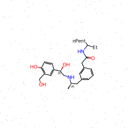 CCCCCC(CC)NC(=O)Cc1cccc(C[C@@H](C)NC[C@H](O)c2ccc(O)c(CO)c2)c1